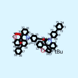 CC(C)(C)c1ccc2c(c1)C1(c3ccccc3Oc3ccccc31)c1cc(-c3ccc(N4c5ccccc5C5(c6ccccc6Oc6ccccc65)c5cc(-c6ccccc6)ccc54)cc3)ccc1N2c1ccc(-c2ccccc2)cc1